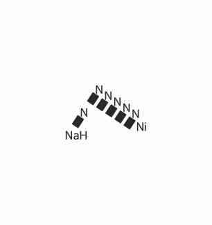 C#N.C#N.C#N.C#N.C#N.C#N.[NaH].[Ni]